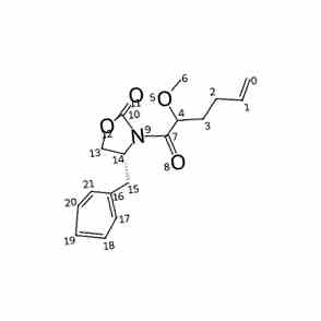 C=CCCC(OC)C(=O)N1C(=O)OC[C@H]1Cc1ccccc1